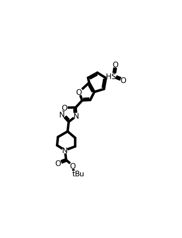 CC(C)(C)OC(=O)N1CCC(c2noc(-c3cc4cc([SH](=O)=O)ccc4o3)n2)CC1